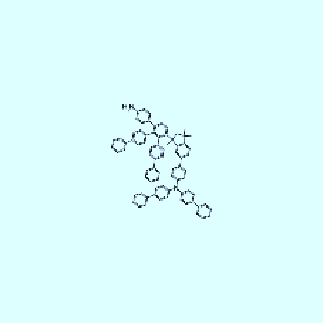 CC1(C)CC(C)(c2ccc(-c3ccc(N)cc3)c(-c3ccc(-c4ccccc4)cc3)c2-c2ccc(-c3ccccc3)cc2)c2cc(-c3ccc(N(c4ccc(-c5ccccc5)cc4)c4ccc(-c5ccccc5)cc4)cc3)ccc21